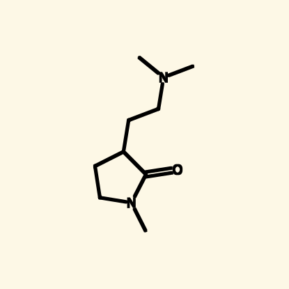 CN(C)CCC1CCN(C)C1=O